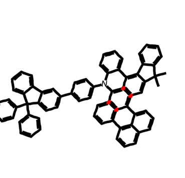 CC1(C)c2ccccc2-c2c(-c3ccccc3N(c3ccc(-c4ccc5c(c4)-c4ccccc4C5(c4ccccc4)c4ccccc4)cc3)c3ccc(-c4cccc5cccc(-c6ccccc6)c45)cc3)cccc21